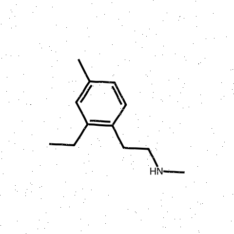 CCc1cc(C)ccc1CCNC